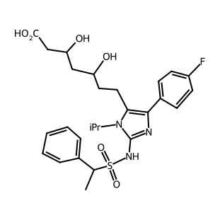 CC(C)n1c(NS(=O)(=O)C(C)c2ccccc2)nc(-c2ccc(F)cc2)c1CCC(O)CC(O)CC(=O)O